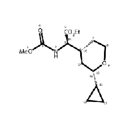 CCOC(=O)[C@H](NC(=O)OC)[C@@H]1CCO[C@H](C2CC2)C1